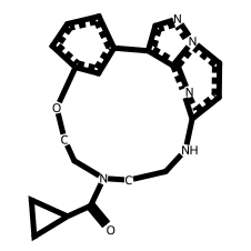 O=C(C1CC1)N1CCNc2ccn3ncc(c3n2)-c2cccc(c2)OCC1